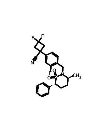 C[C@H]1CC[C@H](c2ccccc2)S(=O)(=O)N1Cc1ccc(C2(C#N)CC(F)(F)C2)cc1F